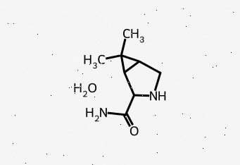 CC1(C)C2CNC(C(N)=O)C21.O